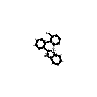 Clc1cccc(Cl)c1-c1ccccc1-c1nc2ccccc2[nH]1